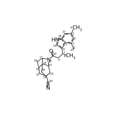 Cc1cc(F)c2c(C(C)CC(=O)N3C4CC5CC3CC(C#N)(C5)C4)c[nH]c2c1